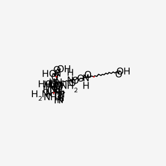 CN1CCC[C@H]1C(=O)N1CCC[C@H]1C(=O)N[C@@H](CCCNC(=N)N)C(=O)N[C@@H](CC(=O)O)C(=O)N[C@@H](CCCCN(CC(=O)O)CC(=O)O)C(=O)N[C@@H](CCCCNC(=O)COCCOCCNC(=O)CCCCCCCCCCCCCCCCC(=O)O)C(N)=O